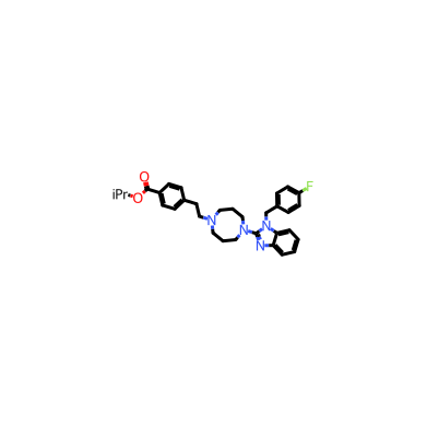 CC(C)OC(=O)c1ccc(CCN2CCCN(c3nc4ccccc4n3Cc3ccc(F)cc3)CCC2)cc1